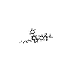 CCCCOCSc1nc(-c2ccccc2)cn2c(-c3ccc(C(=O)NC4CC4)cc3)cnc12